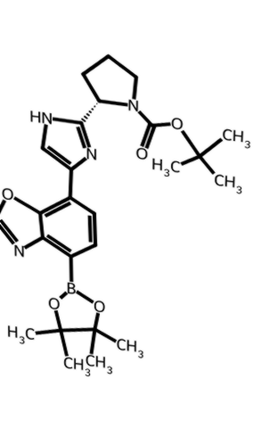 CC(C)(C)OC(=O)N1CCC[C@H]1c1nc(-c2ccc(B3OC(C)(C)C(C)(C)O3)c3ncoc23)c[nH]1